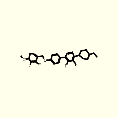 CCC1CCC(c2ccc(-c3ccc(OCC4=CCC(OC)C(F)=C4F)cc3)c(F)c2F)CC1